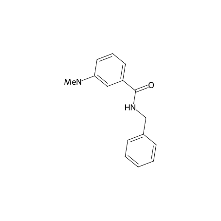 CNc1cccc(C(=O)NCc2ccccc2)c1